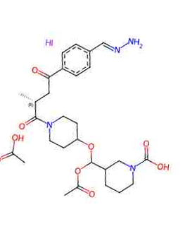 CC(=O)O.CC(=O)OC(OC1CCN(C(=O)[C@H](C)CC(=O)c2ccc(C=NN)cc2)CC1)C1CCCN(C(=O)O)C1.I